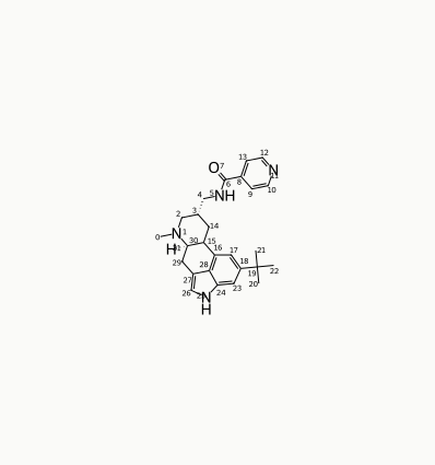 CN1C[C@H](CNC(=O)c2ccncc2)CC2c3cc(C(C)(C)C)cc4[nH]cc(c34)C[C@H]21